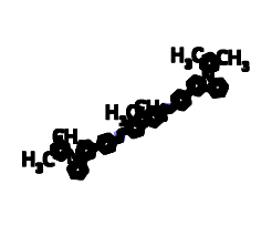 Cc1cc(C)cc(-n2c3ccccc3c3cc(-c4ccc(/C=C/c5ccc6c(c5)C(C)(C)c5cc(/C=C/c7ccc(-c8ccc9c(c8)c8ccccc8n9-c8cc(C)cc(C)c8)cc7)ccc5-6)cc4)ccc32)c1